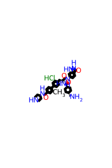 Cc1cc(C(=O)NC2CCNCC2)ccc1-c1ccc(C[C@H](NC(=O)[C@H]2CC[C@H](CN)CC2)C(=O)Nc2ccc3c(=O)[nH][nH]c3c2)cc1.Cl